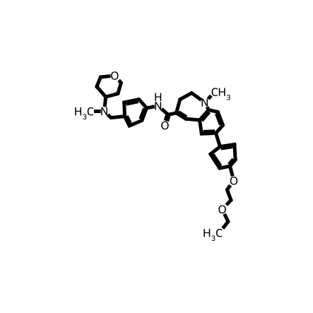 CCOCCOc1ccc(-c2ccc3c(c2)C=C(C(=O)Nc2ccc(CN(C)C4CCOCC4)cc2)CCN3C)cc1